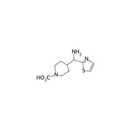 NC(c1nccs1)C1CCN(C(=O)O)CC1